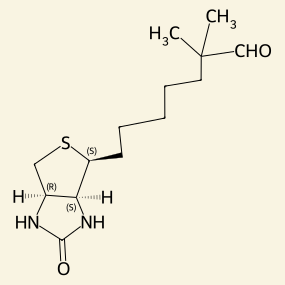 CC(C)(C=O)CCCCC[C@@H]1SC[C@@H]2NC(=O)N[C@@H]21